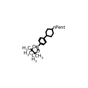 CCCCCC1CCC(c2ccc(B3OC(C)(C)C(C)(C)O3)cc2)CC1